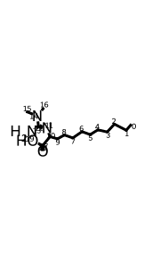 CCCCCCCCCCC(N=C(N)N(C)C)C(=O)O